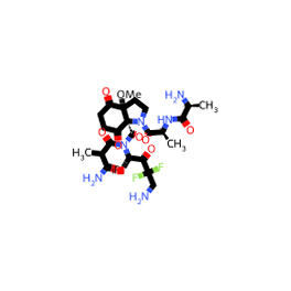 COC12CCN(C(=O)[C@H](C)NC(=O)[C@H](C)N)[C@@]1(C(=O)N(C(=O)C(C)C(N)=O)C(C(=O)C(F)(F)CN)C(C)C)C(=O)CCC2=O